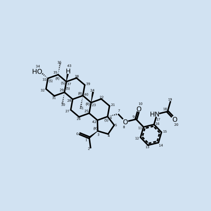 C=C(C)[C@@H]1CC[C@]2(COC(=O)c3ccccc3NC(C)=O)CC[C@]3(C)C(CCC4[C@@]5(C)CC[C@H](O)[C@H](C)[C@@H]5CC[C@]43C)C12